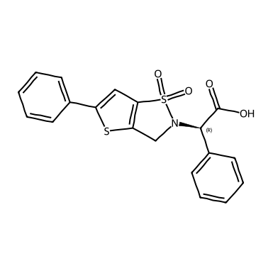 O=C(O)[C@@H](c1ccccc1)N1Cc2sc(-c3ccccc3)cc2S1(=O)=O